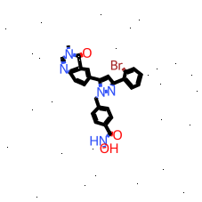 Cn1cnc2ccc(-c3cc(-c4ccccc4Br)nn3Cc3ccc(C(=O)NO)cc3)cc2c1=O